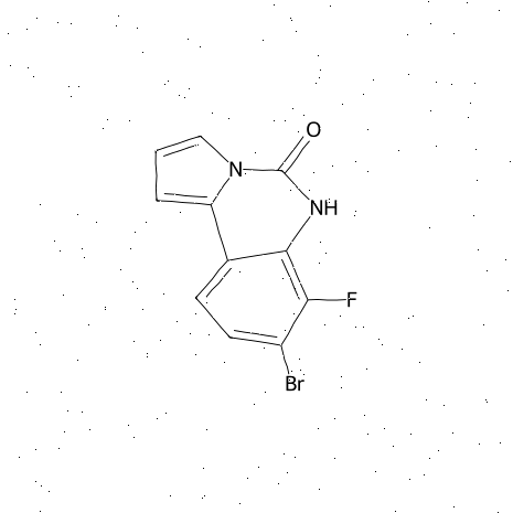 O=c1[nH]c2c(F)c(Br)ccc2c2cccn12